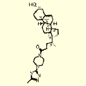 Cc1nnc(N2CCN(C(=O)CC[C@@H](C)[C@H]3CC[C@H]4[C@@H]5CC=C6C[C@@H](O)CC[C@]6(C)[C@H]5CC[C@]34C)CC2)s1